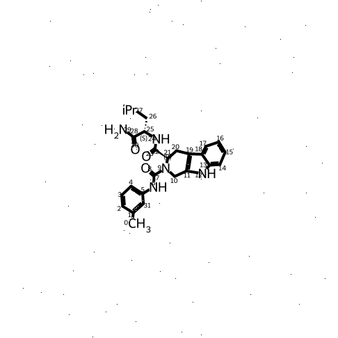 Cc1cccc(NC(=O)N2Cc3[nH]c4ccccc4c3C[C@@H]2C(=O)N[C@@H](CC(C)C)C(N)=O)c1